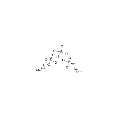 O=P([O-])([O-])[O-].O=P([O-])([O-])[O-].O=P([O-])([O-])[O-].[Al+3].[Mo].[Zn+2].[Zn+2].[Zn+2]